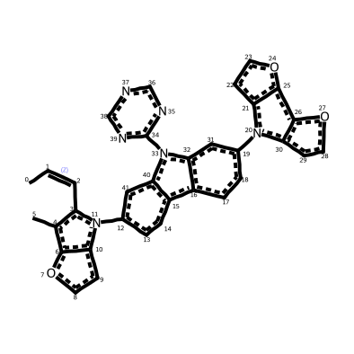 C/C=C\c1c(C)c2occc2n1-c1ccc2c3ccc(-n4c5ccoc5c5occc54)cc3n(-c3ncncn3)c2c1